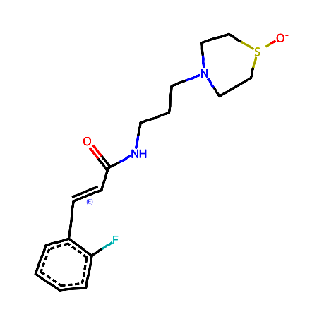 O=C(/C=C/c1ccccc1F)NCCCN1CC[S+]([O-])CC1